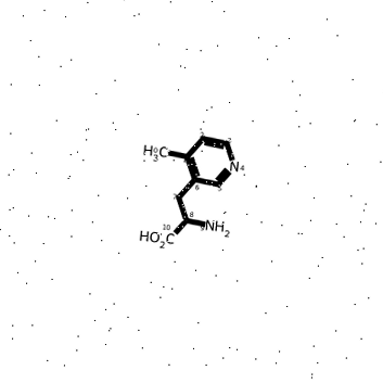 Cc1ccncc1CC(N)C(=O)O